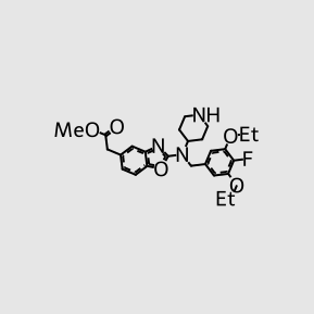 CCOc1cc(CN(c2nc3cc(CC(=O)OC)ccc3o2)C2CCNCC2)cc(OCC)c1F